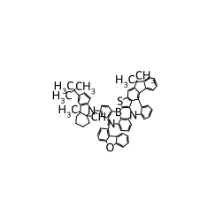 CC(C)(C)c1ccc2c(c1)C1(C)CCCCC1(C)N2c1ccc2c(c1)N(c1cccc3oc4ccccc4c13)c1cccc3c1B2c1sc2cc4c(c5c2c1N3c1ccccc1-5)-c1ccccc1C4(C)C